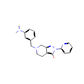 CN(C)c1cccc(CN2CCc3c(nn(-c4ccccn4)c3O)C2)c1